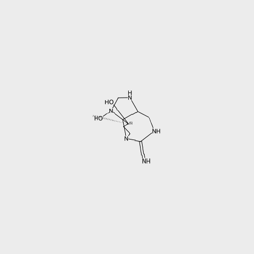 C[C@]1(O)CCN2C(=N)NCC3NCN(O)C321